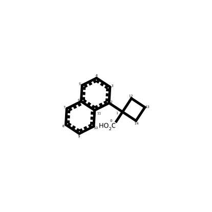 O=C(O)C1(c2cccc3ccccc23)CCC1